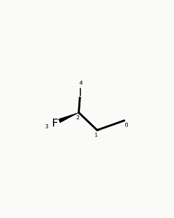 CC[C@@H](F)I